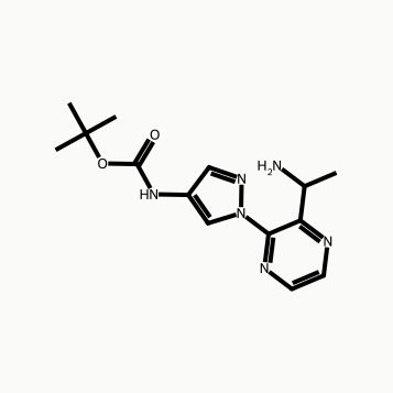 CC(N)c1nccnc1-n1cc(NC(=O)OC(C)(C)C)cn1